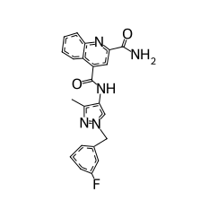 Cc1nn(Cc2cccc(F)c2)cc1NC(=O)c1cc(C(N)=O)nc2ccccc12